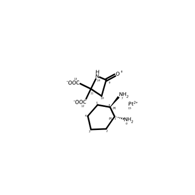 N[C@@H]1CCCC[C@H]1N.O=C1CC(C(=O)[O-])(C(=O)[O-])N1.[Pt+2]